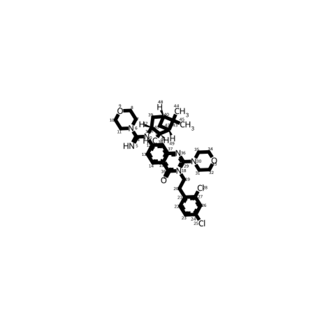 C[C@H]1[C@H](N(C(=N)N2CCOCC2)c2ccc3c(=O)n(CCc4ccc(Cl)cc4Cl)c(N4CCOCC4)nc3c2)C[C@H]2C[C@@H]1C2(C)C